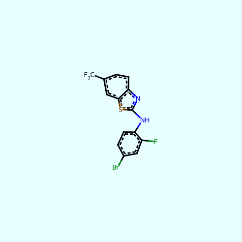 Fc1cc(Br)ccc1Nc1nc2ccc(C(F)(F)F)cc2s1